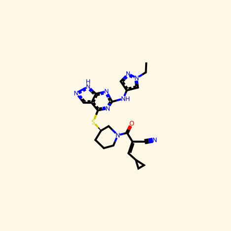 CCn1cc(Nc2nc(S[C@@H]3CCCN(C(=O)/C(C#N)=C/C4CC4)C3)c3cn[nH]c3n2)cn1